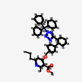 CCCc1cc(OCc2ccc(-c3ccccc3-c3nnn(C(c4ccccc4)(c4ccccc4)c4ccccc4)n3)cc2)c(C(=O)OC)c(C)n1